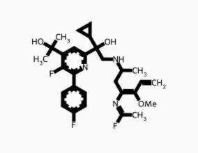 C=C/C(OC)=C(CC(C)NCC(O)(c1cc(C(C)(C)O)c(F)c(-c2ccc(F)cc2)n1)C1CC1)/N=C(\C)F